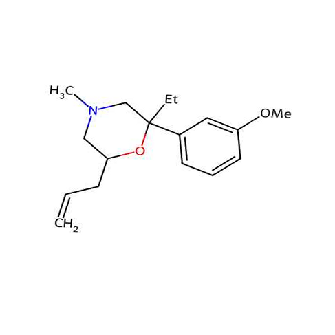 C=CCC1CN(C)CC(CC)(c2cccc(OC)c2)O1